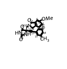 COc1ccc2c(c1)C(=O)N(C[C@@]1(C#Cc3cc(C)cc(F)c3)NC(=O)NC1=O)C2